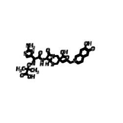 CC(C)(ON=C(C(=O)NC1C(=O)N2CC(C=CCn3ccc4cc(=O)c(O)cc-4c3)(C(=O)O)CS[C@H]12)c1csc(N)n1)C(=O)O